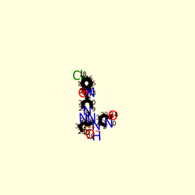 CN1C[C@@H](Nc2nc(N3CCC(c4nc5ccc(Cl)cc5o4)CC3)nc3c2[S+]([O-])CC3)CCC1=O